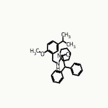 COc1ccc(C(C)C)cc1CNC1(C(c2ccccc2)c2ccccc2)CC2CCN1CC2